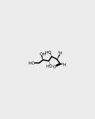 [3H]C(=O)[C@H]([3H])[C@@H](O)[C@H](O)[C@H](O)CO